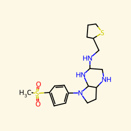 CS(=O)(=O)c1ccc(N2CCC3NCC(NCC4CCCS4)NC32)cc1